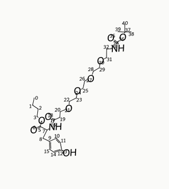 CCCCOC(=O)C(Cc1ccc(O)cc1)NC(=O)CCOCCOCCOCCOCCNC(=O)OC(C)(C)C